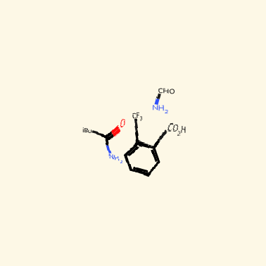 CCC(C)C(N)=O.NC=O.O=C(O)c1ccccc1C(F)(F)F